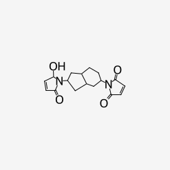 O=C1C=CC(=O)N1C1CCC2CC(N3C(=O)C=CC3O)CC2C1